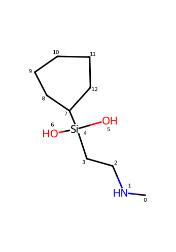 CNCC[Si](O)(O)C1CCCCC1